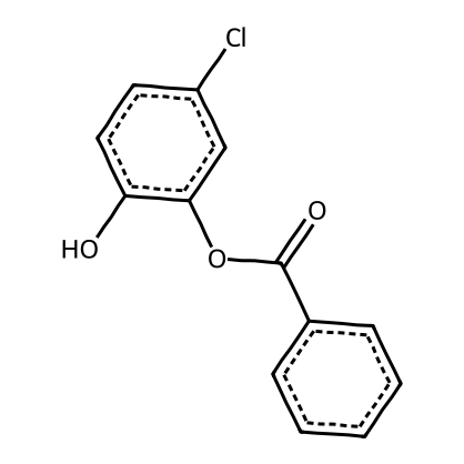 O=C(Oc1cc(Cl)ccc1O)c1ccccc1